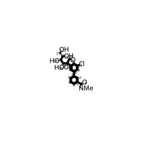 CNC(=O)c1cccc(-c2cc(Cl)c3c(c2)[C@@]2(O)[C@@H](O3)O[C@H](CO)[C@@H](O)[C@@H]2O)c1